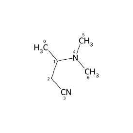 CC(CC#N)N(C)C